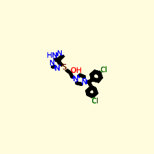 OC(CSc1ncnc2[nH]ncc12)CN1CCN(C(c2ccc(Cl)cc2)c2ccc(Cl)cc2)CC1